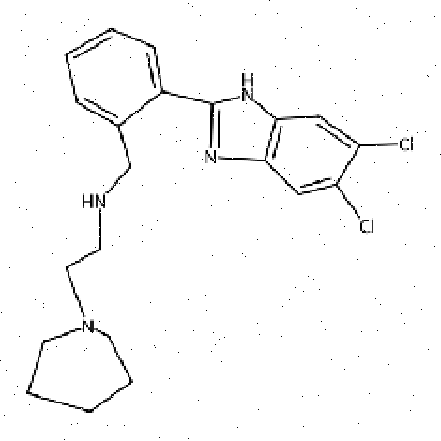 Clc1cc2nc(-c3ccccc3CNCCN3CCCCC3)[nH]c2cc1Cl